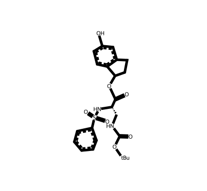 CC(C)(C)OC(=O)NC[C@H](NS(=O)(=O)c1ccccc1)C(=O)OC1CCc2cc(O)ccc21